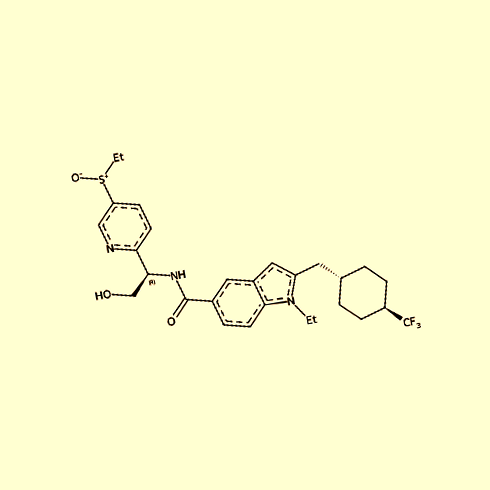 CCn1c(C[C@H]2CC[C@H](C(F)(F)F)CC2)cc2cc(C(=O)N[C@@H](CO)c3ccc([S+]([O-])CC)cn3)ccc21